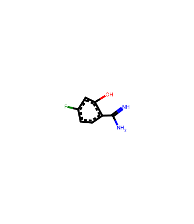 N=C(N)c1ccc(F)cc1O